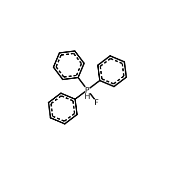 F[PH](c1ccccc1)(c1ccccc1)c1ccccc1